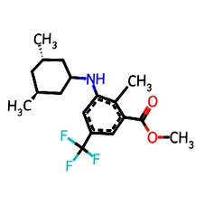 COC(=O)c1cc(C(F)(F)F)cc(NC2C[C@@H](C)C[C@H](C)C2)c1C